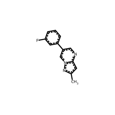 Cc1cc2ncc(-c3cccc(F)c3)cn2n1